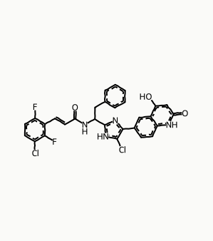 O=C(C=Cc1c(F)ccc(Cl)c1F)NC(Cc1ccccc1)c1nc(-c2ccc3[nH]c(=O)cc(O)c3c2)c(Cl)[nH]1